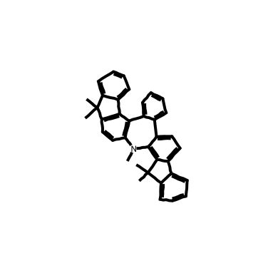 CN1c2ccc3c(c2-c2ccccc2-c2ccc4c(c21)C(C)(C)c1ccccc1-4)-c1ccccc1C3(C)C